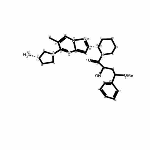 COC(CC(N=O)C(=O)N1CCCC[C@H]1c1cc2nc(N3CC[C@H](N)C3)c(C)cn2n1)c1ccccc1